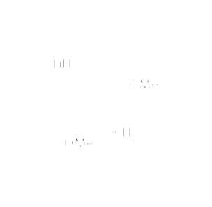 [CH2]c1c(OC)cccc1OC.[LiH]